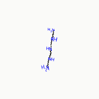 NCCCCCCCCNCCCCCCCCNCCCCCCCCNCCCCCCCCN